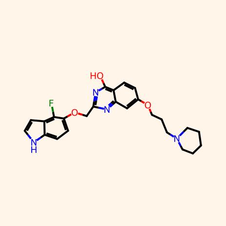 Oc1nc(COc2ccc3[nH]ccc3c2F)nc2cc(OCCCN3CCCCC3)ccc12